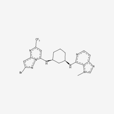 Cn1cnc2ccnc(N[C@@H]3CCC[C@H](Nc4cc(C(F)(F)F)nc5cc(Br)nn45)C3)c21